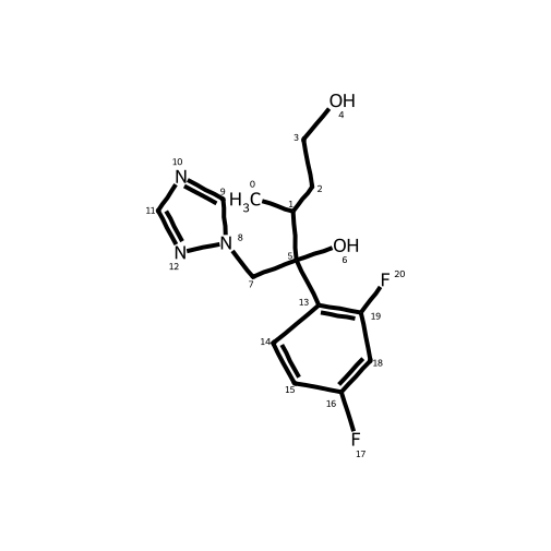 CC(CCO)C(O)(Cn1cncn1)c1ccc(F)cc1F